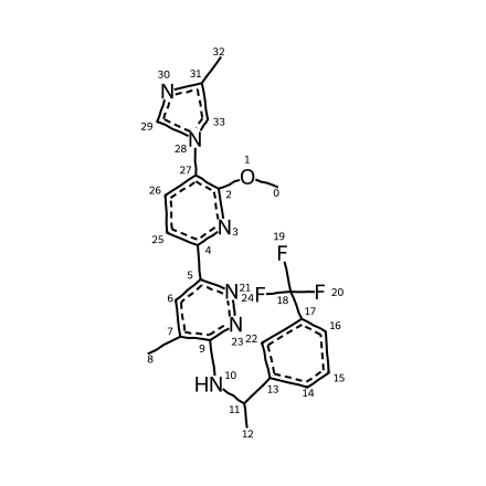 COc1nc(-c2cc(C)c(NC(C)c3cccc(C(F)(F)F)c3)nn2)ccc1-n1cnc(C)c1